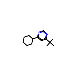 CC(C)(C)c1cc(C2CCCCC2)ncn1